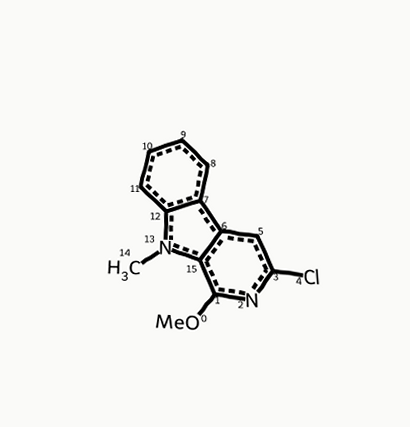 COc1nc(Cl)cc2c3ccccc3n(C)c12